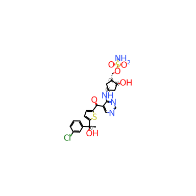 C[C@@](O)(c1cccc(Cl)c1)c1ccc(C(=O)c2cncnc2N[C@@H]2C[C@H](COS(N)(=O)=O)[C@@H](O)C2)s1